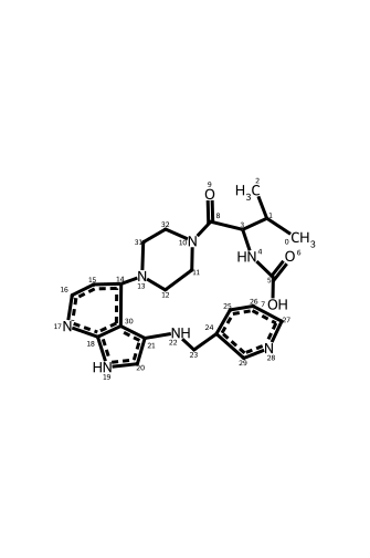 CC(C)C(NC(=O)O)C(=O)N1CCN(c2ccnc3[nH]cc(NCc4cccnc4)c23)CC1